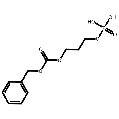 O=C(OCCCOP(=O)(O)O)OCc1ccccc1